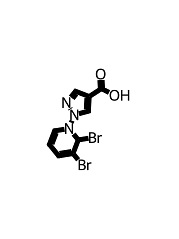 O=C(O)c1cnn(N2C=CC=C(Br)C2Br)c1